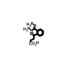 N/N=C(\NN)c1ccccc1C(=O)CCC(=O)O